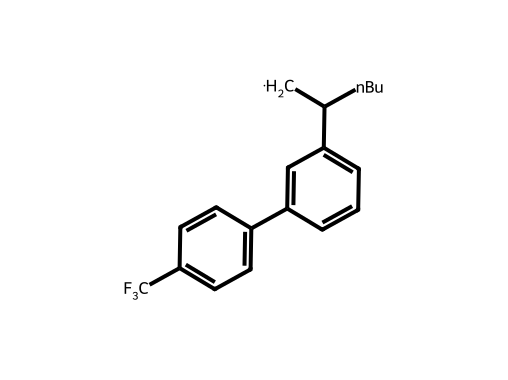 [CH2]C(CCCC)c1cccc(-c2ccc(C(F)(F)F)cc2)c1